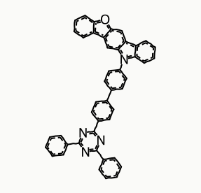 c1ccc(-c2nc(-c3ccccc3)nc(-c3ccc(-c4ccc(-n5c6ccccc6c6cc7oc8ccccc8c7cc65)cc4)cc3)n2)cc1